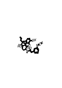 C=CCN1CC[C@]23c4c5ccc(O)c4O[C@H]2[C@@H](N(C)C(=O)Cc2cccc(N=C=S)c2)CC[C@@]3(O)[C@H]1C5